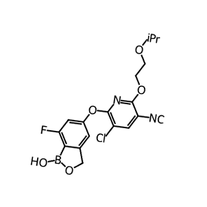 [C-]#[N+]c1cc(Cl)c(Oc2cc(F)c3c(c2)COB3O)nc1OCCOC(C)C